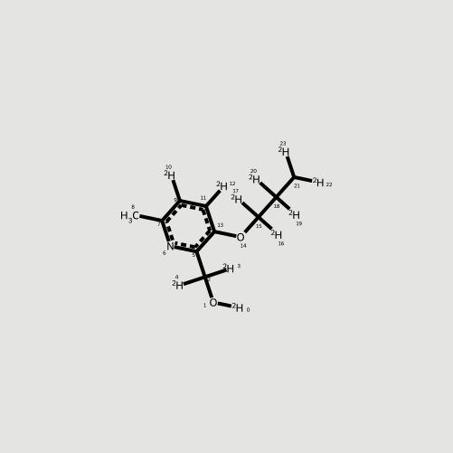 [2H]OC([2H])([2H])c1nc(C)c([2H])c([2H])c1OC([2H])([2H])C([2H])([2H])C([2H])[2H]